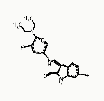 CCN(CC)c1ccc(NC=C2C(=O)Nc3cc(F)ccc32)cc1F